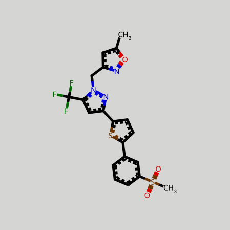 Cc1cc(Cn2nc(-c3ccc(-c4cccc(S(C)(=O)=O)c4)s3)cc2C(F)(F)F)no1